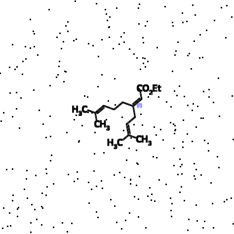 CCOC(=O)/C=C(/CC=C(C)C)CCC=C(C)C